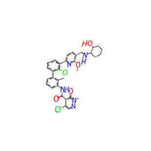 COc1nc(-c2cccc(-c3cccc(NC(=O)c4c(Cl)cnn(C)c4=O)c3C)c2Cl)ccc1CNC1CCCCC1O